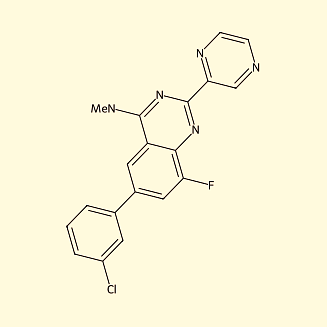 CNc1nc(-c2cnccn2)nc2c(F)cc(-c3cccc(Cl)c3)cc12